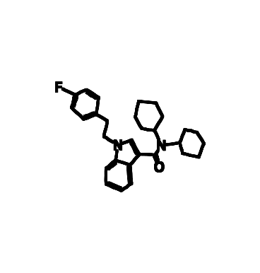 O=C(c1cn(CCc2ccc(F)cc2)c2ccccc12)N(C1CCCCC1)C1CCCCC1